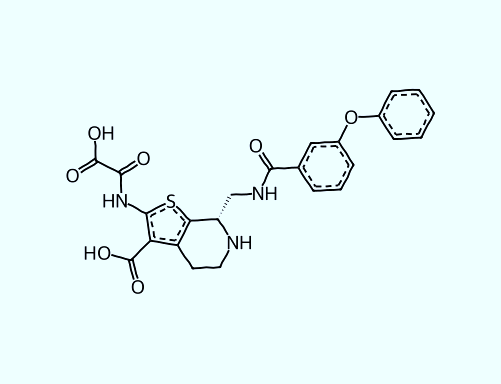 O=C(O)C(=O)Nc1sc2c(c1C(=O)O)CCN[C@H]2CNC(=O)c1cccc(Oc2ccccc2)c1